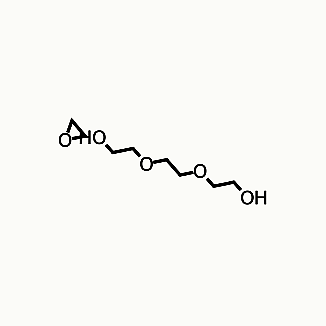 C1CO1.OCCOCCOCCO